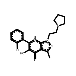 Cc1nn(CCN2CCCC2)c2[nH]c(-c3ccccc3Cl)c(O)c(=O)c12